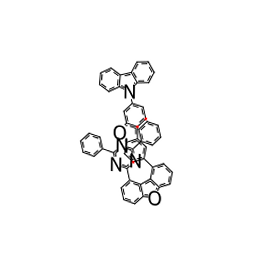 c1ccc(-c2nc(-c3ccccc3)nc(-c3cccc4oc5cccc(-c6ccc7oc8cc(-n9c%10ccccc%10c%10ccccc%109)ccc8c7c6)c5c34)n2)cc1